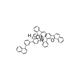 CC1(C)c2ccccc2-c2cccc(N(c3ccc(-c4cccc(-c5cccc6ccccc56)c4)cc3)c3ccccc3-c3cccc4c3oc3c5ccccc5ccc43)c21